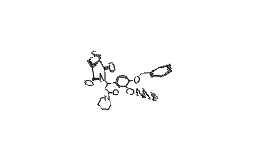 COc1cc(C(CC(=O)N2CCCCC2)N2C(=O)c3cscc3C2=O)ccc1OCc1ccccc1